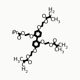 C=C(C)C(=O)OCCOc1ccc(-c2ccc(OCCOC(=O)C(=C)C)cc2OCCOC(=O)C(C)C)c(OCCOC(=O)C(=C)C)c1